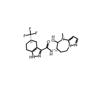 CN1c2ccnn2CC[C@H](NC(=O)c2n[nH]c3c2C[C@@H](C(F)(F)F)CC3)C1O